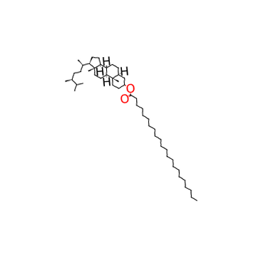 CCCCCCCCCCCCCCCCCCCCCC(=O)O[C@H]1CC[C@@]2(C)[C@@H](CC[C@@H]3[C@@H]2CC[C@]2(C)[C@@H]([C@H](C)CC[C@H](C)C(C)C)CC[C@@H]32)C1